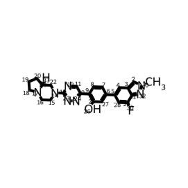 Cn1cc2cc(-c3ccc(-c4cnc(N5CCN6CCC[C@@H]6C5)nn4)c(O)c3)cc(F)c2n1